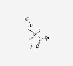 CCC(C)(/C=C/Br)C(=O)O